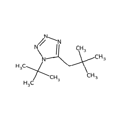 CC(C)(C)Cc1nnnn1C(C)(C)C